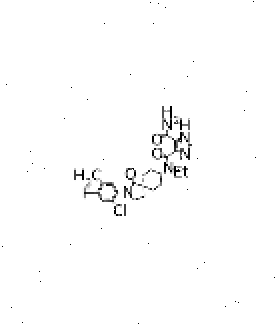 CCN(C(=O)c1nc[nH]c1C(N)=O)[C@H]1CC[C@@]2(CCN(c3cc(C)c(F)cc3Cl)C2=O)CC1